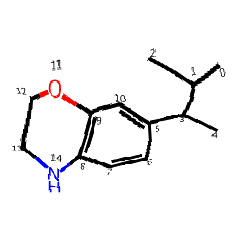 CC(C)C(C)c1ccc2c(c1)OCCN2